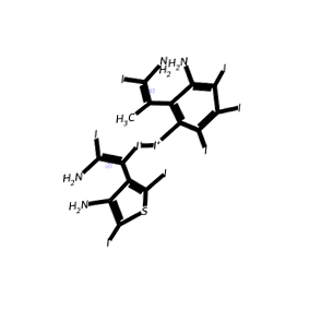 C/C(=C(/N)I)c1c(N)c(I)c(I)c(I)c1[I+][I+]/C(=C(/N)I)c1c(I)sc(I)c1N